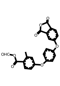 Cc1cc(Oc2ccc(Oc3ccc4c(c3)C(=O)OC4=O)cc2)ccc1C(=O)OC=O